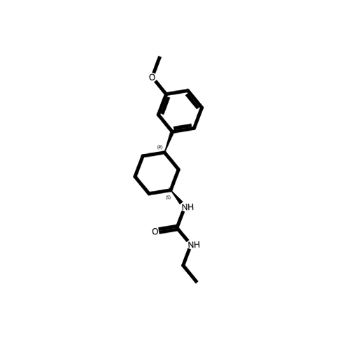 CCNC(=O)N[C@H]1CCC[C@@H](c2cccc(OC)c2)C1